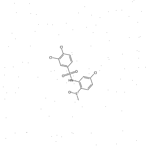 C[S+]([O-])c1ccc(Cl)cc1NS(=O)(=O)c1ccc(Cl)c(Cl)c1